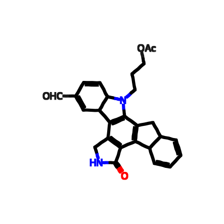 CC(=O)OCCCN1c2c3c(c4c(c2C2C=C(C=O)C=CC21)CNC4=O)C1C=CC=CC1C3